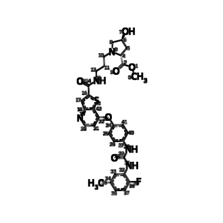 COC(=O)[C@H]1C[C@H](O)CN1CCCNC(=O)c1cc2nccc(Oc3ccc(NC(=O)Nc4cc(C)ccc4F)cc3)c2s1